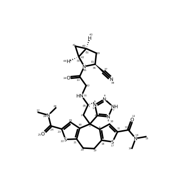 C[C@H](CC1(c2nn[nH]n2)c2cc(C(=O)N(C)C)sc2CCc2sc(C(=O)N(C)C)cc21)NCC(=O)N1[C@H](C#N)C[C@@H]2C[C@@H]21